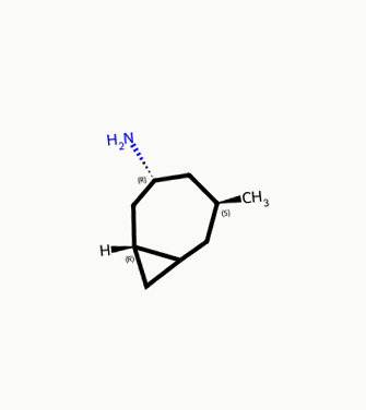 C[C@H]1CC2C[C@@H]2C[C@H](N)C1